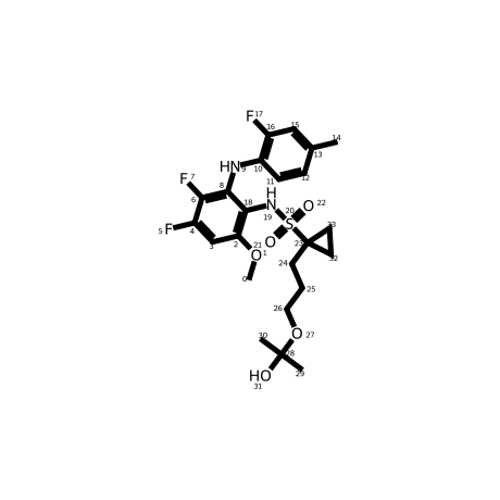 COc1cc(F)c(F)c(Nc2ccc(C)cc2F)c1NS(=O)(=O)C1(CCCOC(C)(C)O)CC1